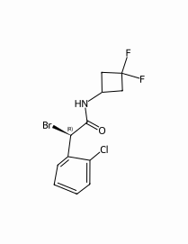 O=C(NC1CC(F)(F)C1)[C@H](Br)c1ccccc1Cl